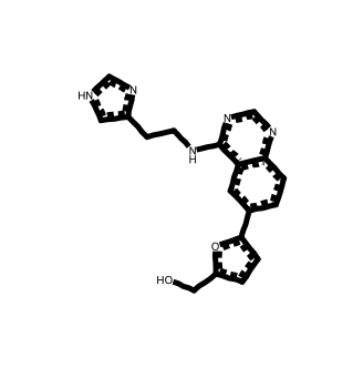 OCc1ccc(-c2ccc3ncnc(NCCc4c[nH]cn4)c3c2)o1